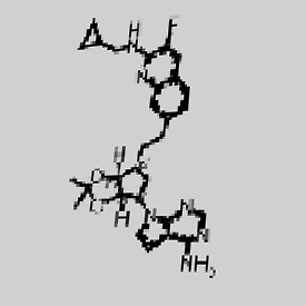 CC1(C)O[C@@H]2[C@@H](CCc3ccc4cc(F)c(NCC5CC5)nc4c3)C[C@@H](n3ccc4c(N)ncnc43)[C@@H]2O1